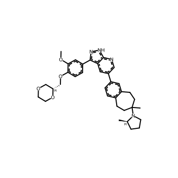 COc1cc(-c2n[nH]c3ncc(-c4ccc5c(c4)CCC(C)(N4CCC[C@H]4C)CC5)cc23)ccc1OC[C@H]1COCCO1